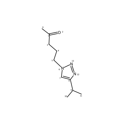 CC(=O)CCCn1cc(C(C)C)nn1